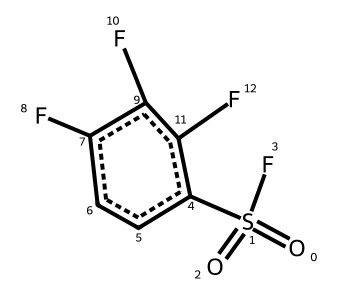 O=S(=O)(F)c1ccc(F)c(F)c1F